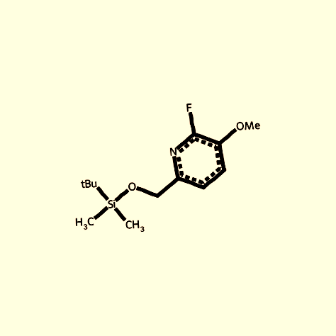 COc1ccc(CO[Si](C)(C)C(C)(C)C)nc1F